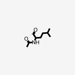 CC(=O)NC([C]=O)CCC(C)C